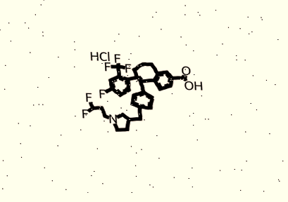 Cl.O=C(O)c1ccc2c(c1)CCCC(c1ccc(F)cc1C(F)(F)F)=C2c1ccc(CC2CCN(CCC(F)F)C2)cc1